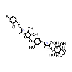 C/C(=C\c1ccc(O[C@@H]2O[C@H](/C(C)=C/COc3ccc(F)cc3Cl)[C@@H](O)[C@@H]2O)c(O)c1)C(=O)N[C@@H]1[C@H](O)[C@@H](O)[C@H]2OCO[C@H]2[C@@H]1O